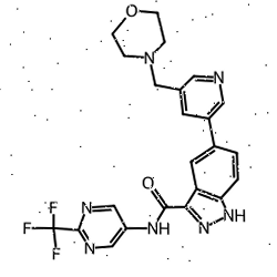 O=C(Nc1cnc(C(F)(F)F)nc1)c1n[nH]c2ccc(-c3cncc(CN4CCOCC4)c3)cc12